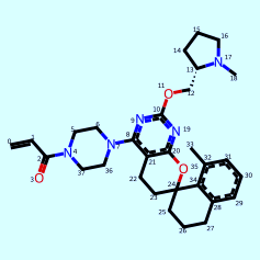 C=CC(=O)N1CCN(c2nc(OC[C@@H]3CCCN3C)nc3c2CCC2(CCCc4cccc(C)c42)O3)CC1